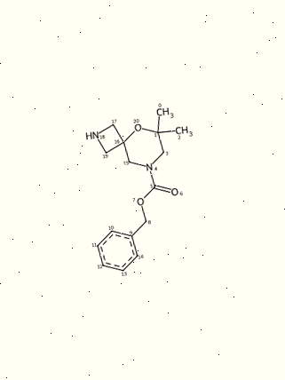 CC1(C)CN(C(=O)OCc2ccccc2)CC2(CNC2)O1